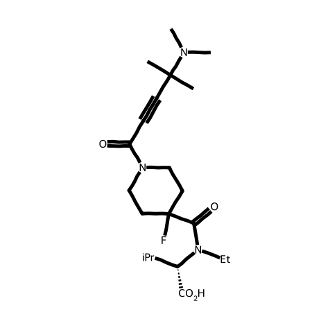 CCN(C(=O)C1(F)CCN(C(=O)C#CC(C)(C)N(C)C)CC1)[C@H](C(=O)O)C(C)C